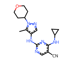 Cc1c(Nc2ncc(C#N)c(NC3CC3)n2)cnn1C1CCOCC1